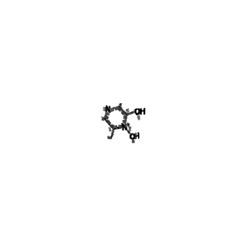 Cc1cncc(O)[n+]1O